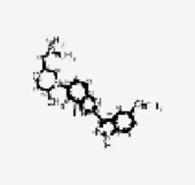 COc1ccc2[nH]nc(-c3nc4ccc(N5CC(CN(C)C)OCC5C)cc4[nH]3)c2c1